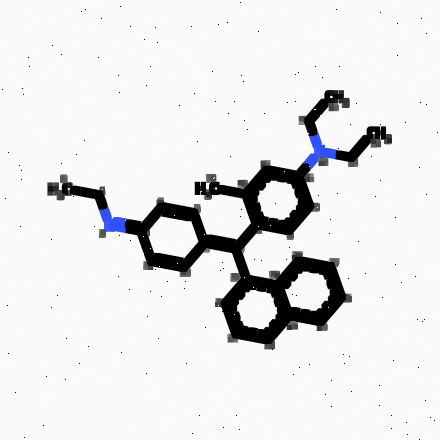 CCN=C1C=CC(=C(c2ccc(N(CC)CC)cc2C)c2cccc3ccccc23)C=C1